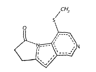 CSc1cncc2cc3n(c12)C(=O)CC3